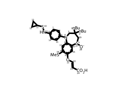 CCCCC1(CCCC)CN(c2ccc(NSC3CC3)cc2)c2cc(SC)c(O/C=C/C(=O)O)cc2[S+]([O-])C1